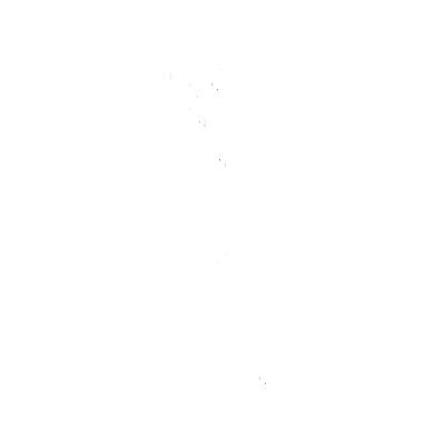 C[C@@H](NC(=O)c1ccco1)C(=O)N1CCCN(CCC#Cc2ccc(-c3ccc(C#N)cc3)cc2)CC1